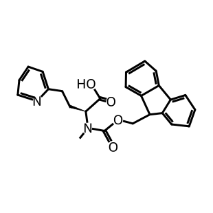 CN(C(=O)OCC1c2ccccc2-c2ccccc21)[C@@H](CCc1ccccn1)C(=O)O